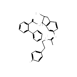 CC(=Nc1ccc2c(c1)C(NC(=O)c1ccccc1-c1ccccc1)C(O)C2)NCCc1ccc(F)cc1